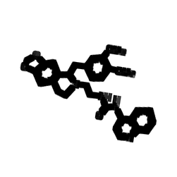 COc1ccc(CC2c3cc4c(cc3CCN2CCNC(=O)Nc2ccnc3ccccc23)OCO4)cc1OC